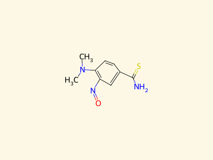 CN(C)c1ccc(C(N)=S)cc1N=O